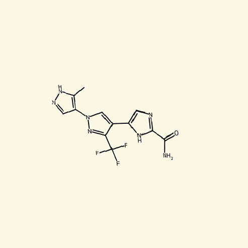 Cc1[nH]ncc1-n1cc(-c2cnc(C(N)=O)[nH]2)c(C(F)(F)F)n1